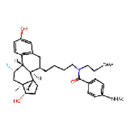 COCCN(CCCC[C@@H]1Cc2cc(O)ccc2[C@@H]2[C@@H]1[C@@H]1CC[C@H](O)[C@@]1(C)C[C@@H]2F)C(=O)c1ccc(NC(C)=O)cc1